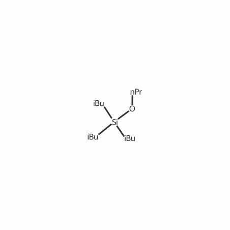 CCCO[Si](C(C)CC)(C(C)CC)C(C)CC